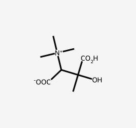 CC(O)(C(=O)O)C(C(=O)[O-])[N+](C)(C)C